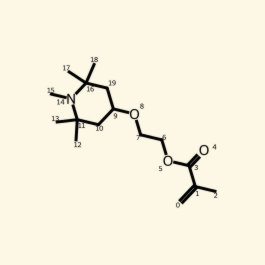 C=C(C)C(=O)OCCOC1CC(C)(C)N(C)C(C)(C)C1